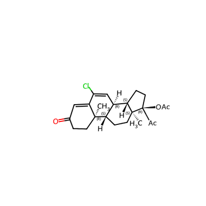 CC(=O)O[C@]1(C(C)=O)CC[C@H]2[C@@H]3C=C(Cl)C4=CC(=O)CC[C@]4(C)[C@H]3CC[C@@]21C